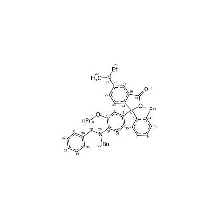 CCCOc1cc(C2(c3ccccc3F)OC(=O)c3cc(N(C)CC)ccc32)ccc1N(Cc1ccccc1)C(C)CC